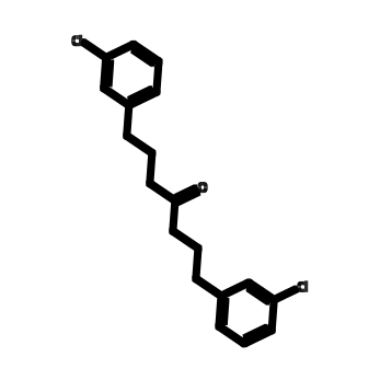 O=C(CCCc1cccc(Cl)c1)CCCc1cccc(Cl)c1